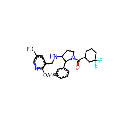 COc1ncc(C(F)(F)F)cc1CNC1CCN(C(=O)C2CCCC(F)(F)C2)C1c1ccccc1